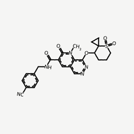 Cn1c(=O)c(C(=O)NCc2ccc(C#N)cc2)cc2cnnc(OC3CCCS(=O)(=O)C34CC4)c21